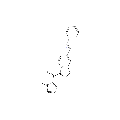 Cc1ccccc1/C=C/c1ccc2c(c1)CCN2C(=O)c1ccnn1C